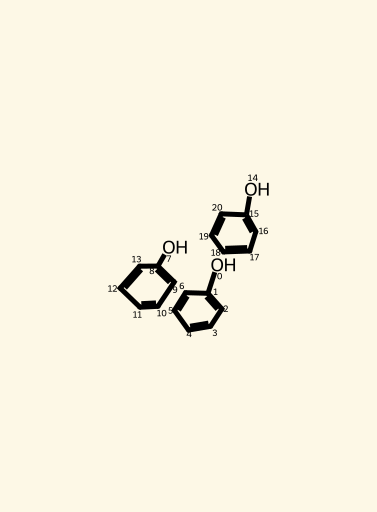 Oc1ccccc1.Oc1ccccc1.Oc1ccccc1